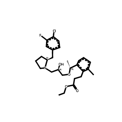 CCOC(=O)CCc1c(C)cccc1[C@@H](C)OC[C@H](O)CN1CCC[C@H]1Cc1ccc(Cl)c(F)c1